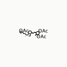 C=C1/C(=C\C=C2CCC[C@@]3(C)C2CC[C@@H]3[C@H](C)CCCC(C)(C)OC(C)=O)C[C@@H](OC(C)=O)C[C@H]1OC(C)=O